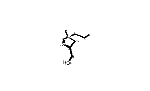 [CH2]CC[N+]1(C)C=NC(CO)C1